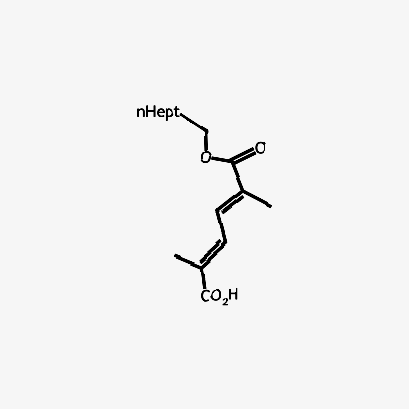 CCCCCCCCOC(=O)C(C)=CC=C(C)C(=O)O